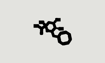 O=C(O)C1(O)C[C@@H](O)[C@H](O)C(CC2=C/C=C\C=C/C=C\2)O1